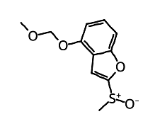 COCOc1cccc2oc([S+](C)[O-])cc12